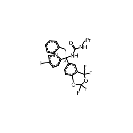 CC(C)NC(=O)N[C@@](Cc1ccccc1)(c1ccc2c(c1)C(F)(F)OC(F)(F)O2)c1ccc(I)cn1